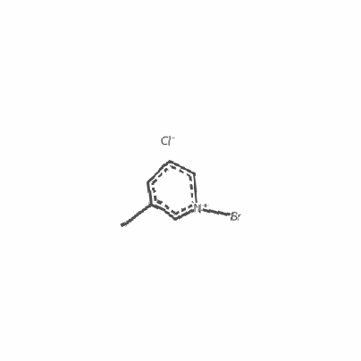 Cc1ccc[n+](Br)c1.[Cl-]